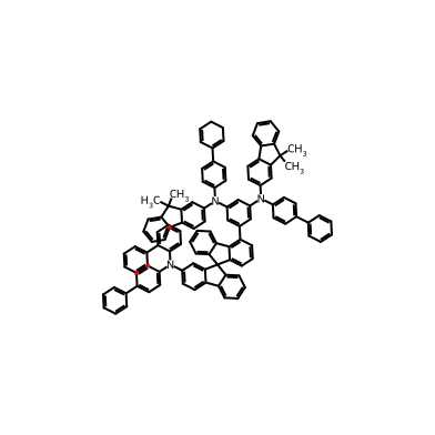 CC1(C)c2ccccc2-c2ccc(N(c3ccc(C4=CCCC=C4)cc3)c3cc(-c4cccc5c4-c4ccccc4C54c5ccccc5-c5ccc(N(c6ccc(-c7ccccc7)cc6)c6ccccc6-c6ccccc6)cc54)cc(N(c4ccc(-c5ccccc5)cc4)c4ccc5c(c4)C(C)(C)c4ccccc4-5)c3)cc21